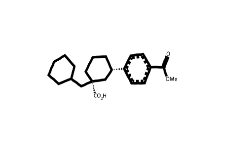 COC(=O)c1ccc([C@H]2CCC[C@@](CC3CCCCC3)(C(=O)O)C2)cc1